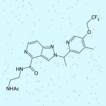 CC(=O)NCCNC(=O)c1nccc2nn(C(C)c3cc(C)c(OCC(F)(F)F)cn3)cc12